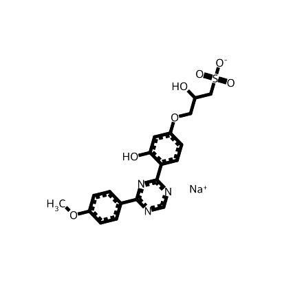 COc1ccc(-c2ncnc(-c3ccc(OCC(O)CS(=O)(=O)[O-])cc3O)n2)cc1.[Na+]